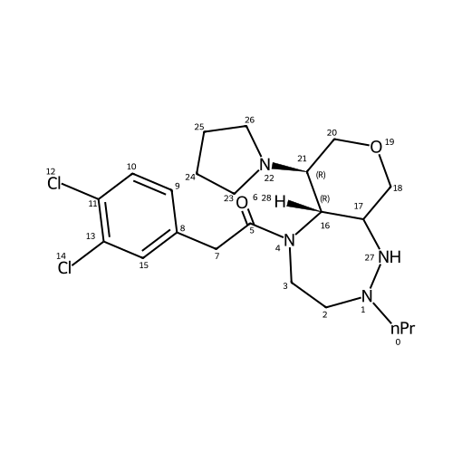 CCCN1CCN(C(=O)Cc2ccc(Cl)c(Cl)c2)[C@H]2C(COC[C@@H]2N2CCCC2)N1